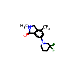 CN1Cc2c(cc(N3CCCC(F)(F)C3)cc2C(F)(F)F)C1=O